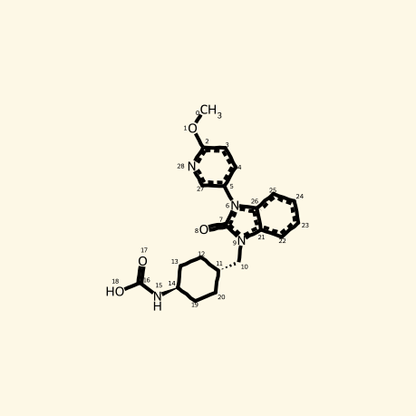 COc1ccc(-n2c(=O)n(C[C@H]3CC[C@H](NC(=O)O)CC3)c3ccccc32)cn1